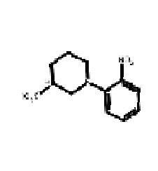 O=C(O)[C@H]1CCCN(c2ccccc2[N+](=O)[O-])C1